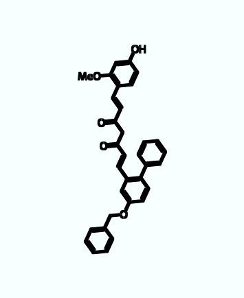 COc1cc(O)ccc1C=CC(=O)CC(=O)C=Cc1cc(OCc2ccccc2)ccc1-c1ccccc1